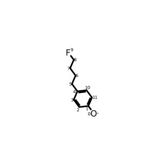 [O]c1ccc(CCCCF)cc1